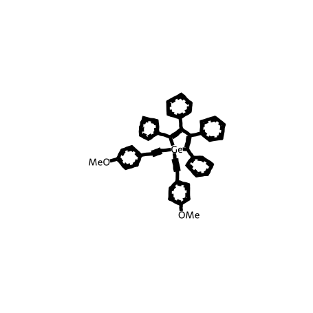 COc1ccc(C#[C][Ge]2([C]#Cc3ccc(OC)cc3)[C](c3ccccc3)=C(c3ccccc3)C(c3ccccc3)=[C]2c2ccccc2)cc1